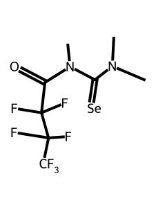 CN(C)C(=[Se])N(C)C(=O)C(F)(F)C(F)(F)C(F)(F)F